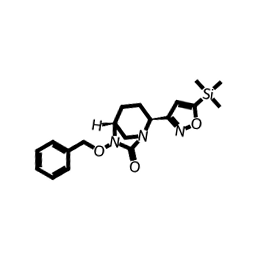 C[Si](C)(C)c1cc([C@@H]2CC[C@@H]3CN2C(=O)N3OCc2ccccc2)no1